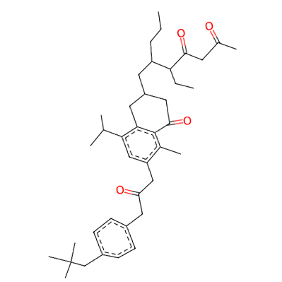 CCCC(CC1CC(=O)c2c(C)c(CC(=O)Cc3ccc(CC(C)(C)C)cc3)cc(C(C)C)c2C1)C(CC)C(=O)CC(C)=O